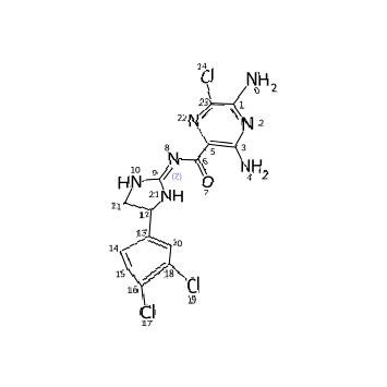 Nc1nc(N)c(C(=O)/N=C2/NCC(c3ccc(Cl)c(Cl)c3)N2)nc1Cl